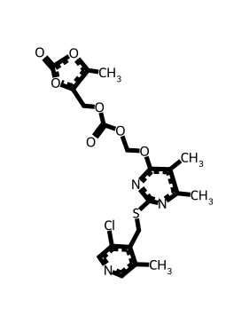 Cc1cncc(Cl)c1CSc1nc(C)c(C)c(OCOC(=O)OCc2oc(=O)oc2C)n1